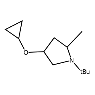 CC1CC(OC2CC2)CN1C(C)(C)C